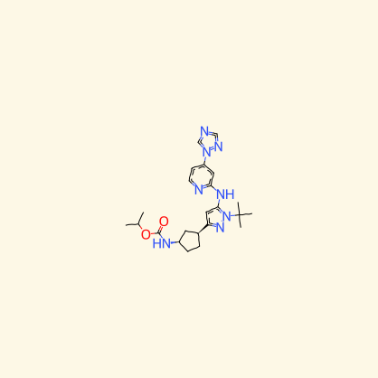 CC(C)OC(=O)N[C@@H]1CC[C@H](c2cc(Nc3cc(-n4cncn4)ccn3)n(C(C)(C)C)n2)C1